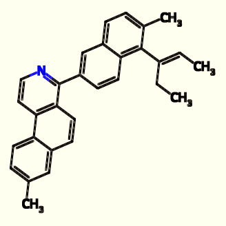 C/C=C(\CC)c1c(C)ccc2cc(-c3nccc4c3ccc3cc(C)ccc34)ccc12